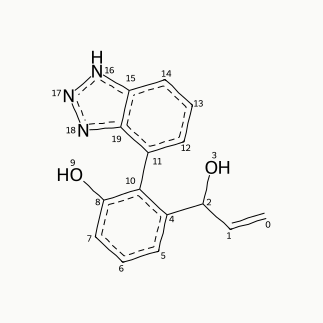 C=CC(O)c1cccc(O)c1-c1cccc2[nH]nnc12